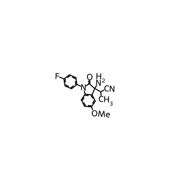 COc1ccc2c(c1)C(N)(C(C)C#N)C(=O)N2c1ccc(F)cc1